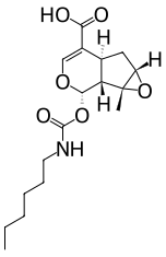 CCCCCCNC(=O)O[C@@H]1OC=C(C(=O)O)[C@H]2C[C@@H]3O[C@]3(C)[C@H]12